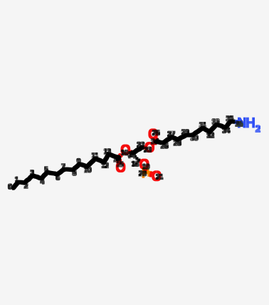 CCCCCCCCCCCCCCC(=O)O[C@@H](COP=O)COC(=O)CCCCCCCCCCN